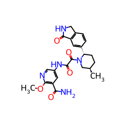 COc1ncc(NC(=O)C(=O)N2C[C@H](C)CC[C@H]2c2ccc3c(c2)C(=O)NC3)cc1C(N)=O